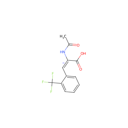 CC(=O)N/C(=C/c1ccccc1C(F)(F)F)C(=O)O